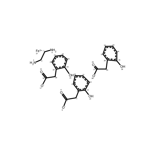 NCCN.O=C([O-])Cc1ccccc1O.O=C([O-])Cc1ccccc1O.O=C([O-])Cc1ccccc1O.[Fe+3]